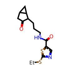 CCSc1ncc(C(=O)NCCCC2C(=O)CC3CC32)s1